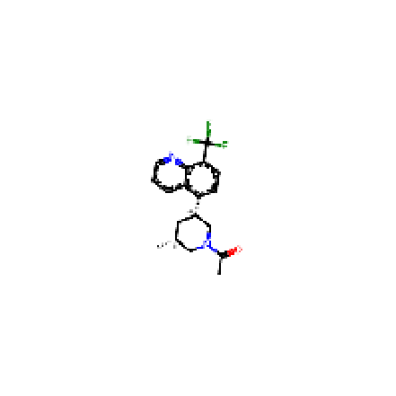 CC(=O)N1C[C@H](C)C[C@H](c2ccc(C(F)(F)F)c3ncccc23)C1